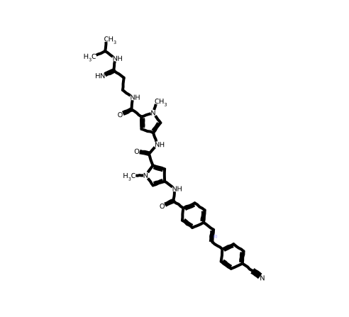 CC(C)NC(=N)CCNC(=O)c1cc(NC(=O)c2cc(NC(=O)c3ccc(/C=C/c4ccc(C#N)cc4)cc3)cn2C)cn1C